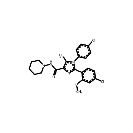 COc1cc(Cl)ccc1-c1nc(C(=O)NN2CCCCC2)c(C)n1-c1ccc(Cl)cc1